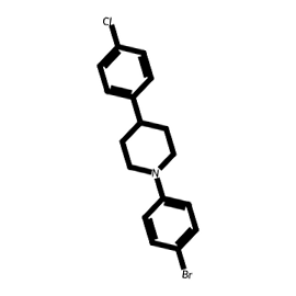 Clc1ccc(C2CCN(c3ccc(Br)cc3)CC2)cc1